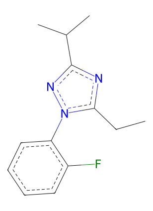 CCc1nc(C(C)C)nn1-c1ccccc1F